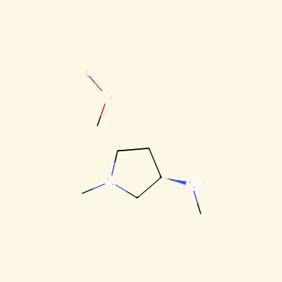 CN[C@@H]1C[C@@H](COI)N(C)C1